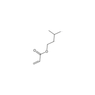 [CH2]C(C)[CH]COC(=O)C=C